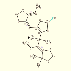 C=C/C(=C1/CCCC1(C)CC)C(C)(C)C1=C(/C=C2/CCC/C2=C\C)CC(F)C1